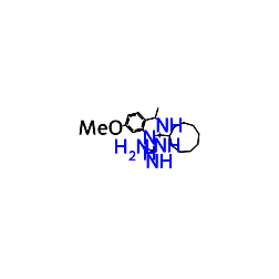 COc1ccc2c(c1)NC(NC(=N)N)(C1CCCCCCCC1)NC2C